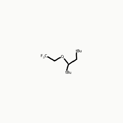 CC(C)(C)CC(OCC(F)(F)F)C(C)(C)C